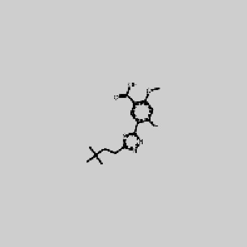 COc1cc(F)c(-c2nnc(CCC(C)(C)C)s2)cc1C(=O)O